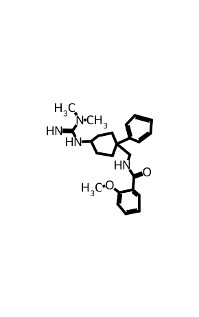 COc1ccccc1C(=O)NCC1(c2ccccc2)CCC(NC(=N)N(C)C)CC1